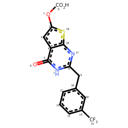 O=C(O)Oc1cc2c(=O)[nH]c(Cc3cccc(C(F)(F)F)c3)nc2s1